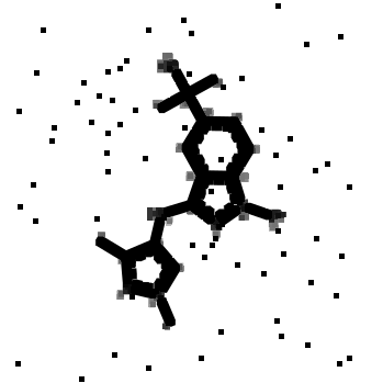 Cc1nn(C)cc1Nc1nn(C(C)C)c2ccc(C(C)(C)O)cc12